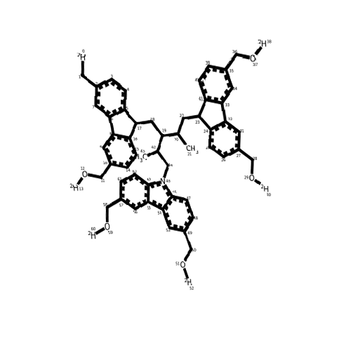 [2H]Cc1ccc2c(c1)-c1cc(CO[2H])ccc1C2CC(C(C)CC1c2ccc(CO[2H])cc2-c2cc(CO[2H])ccc21)C(C)Cn1c2ccc(CO[2H])cc2c2cc(CO[2H])ccc21